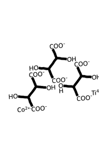 O=C([O-])C(O)C(O)C(=O)[O-].O=C([O-])C(O)C(O)C(=O)[O-].O=C([O-])C(O)C(O)C(=O)[O-].[Co+2].[Ti+4]